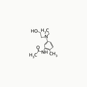 CCN(CCO)c1ccc(C)c(NC(C)=O)c1